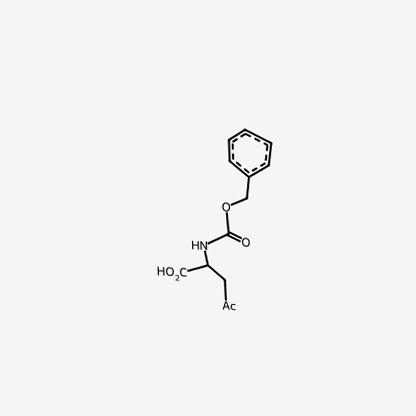 CC(=O)CC(NC(=O)OCc1ccccc1)C(=O)O